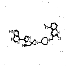 COc1cccc2nc(Cl)c(CN3CCC(N4CC(CC#N)(n5cc(-c6ncnc7[nH]ccc67)cn5)C4)CC3)cc12